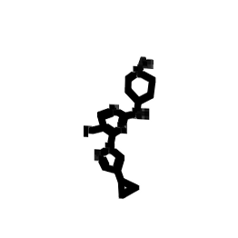 CC(=O)N1CCC(Nc2ncc(F)c(-n3cc(C4CC4)cn3)n2)CC1